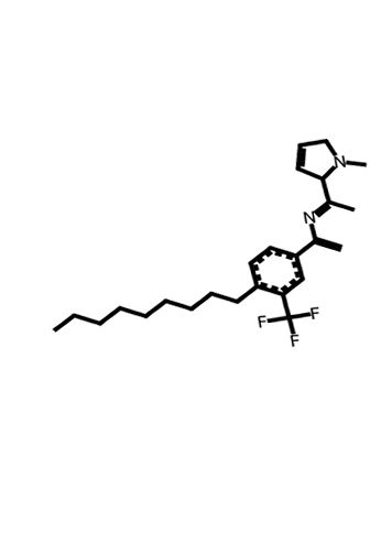 C=C(/N=C(\C)C1C=CCN1C)c1ccc(CCCCCCCCC)c(C(F)(F)F)c1